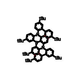 CC(C)(C)c1ccc(-c2cc(C(C)(C)C)ccc2N2c3ccc(C(C)(C)C)cc3B3c4cc(C(C)(C)C)ccc4N(c4ccc(C(C)(C)C)cc4-c4ccc(C(C)(C)C)cc4)c4cccc2c43)cc1